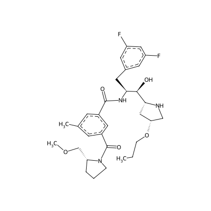 CCCO[C@H]1CN[C@@H]([C@H](O)[C@H](Cc2cc(F)cc(F)c2)NC(=O)c2cc(C)cc(C(=O)N3CCC[C@@H]3COC)c2)C1